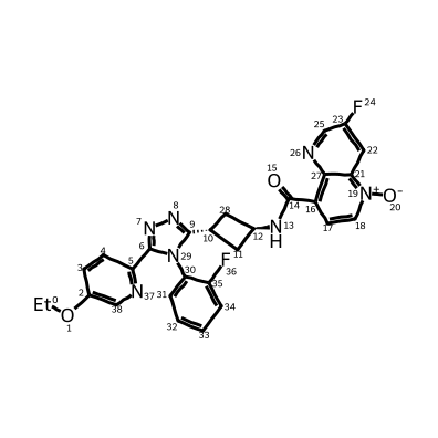 CCOc1ccc(-c2nnc([C@H]3C[C@H](NC(=O)c4cc[n+]([O-])c5cc(F)cnc45)C3)n2-c2ccccc2F)nc1